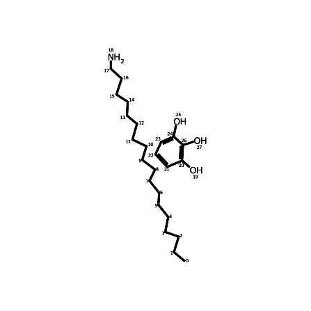 CCCCCCCCCCCCCCCCCCN.Oc1cccc(O)c1O